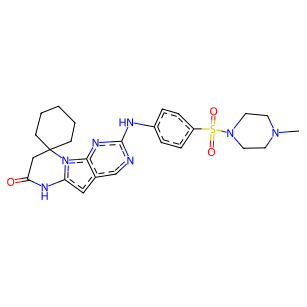 CN1CCN(S(=O)(=O)c2ccc(Nc3ncc4cc5n(c4n3)C3(CCCCC3)CC(=O)N5)cc2)CC1